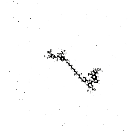 CC(=O)Nc1cc(NCCCCCCCCNC(=O)CN2CCC(n3nc(N4CCCc5cc(-c6cnn(C)c6)c(C(F)F)cc54)c4c3CCN(C(C)=O)C4)CC2)ccc1C(=O)Nc1nc(C)c([N+](=O)[O-])s1